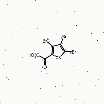 O=C(O)C(=O)c1sc(Br)c(Br)c1Br